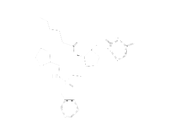 CCCCCC(=O)O[C@@H]1[C@@H](COP(=O)(N[C@@H](C)C2OCCO2)Oc2ccccc2)O[C@@H](n2ccc(=O)[nH]c2=O)[C@]1(C)F